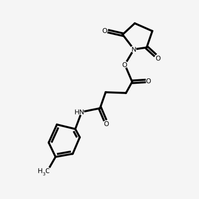 Cc1ccc(NC(=O)CCC(=O)ON2C(=O)CCC2=O)cc1